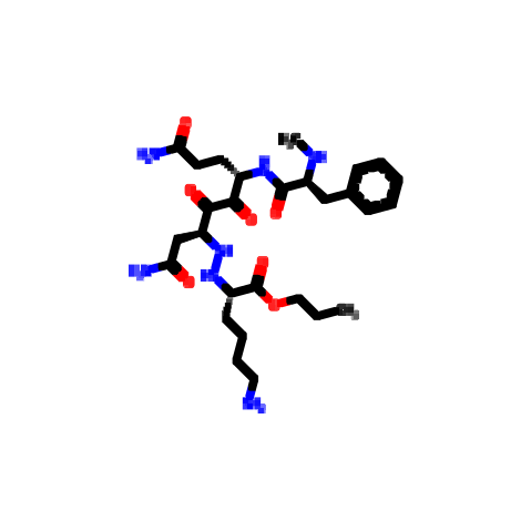 CCCOC(=O)[C@H](CCCCN)NN[C@@H](CC(N)=O)C(=O)C(=O)[C@H](CCC(N)=O)NC(=O)[C@H](Cc1ccccc1)NC